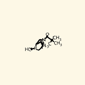 C#CN1CC2CC1CN2C(=O)C(C)(C)C